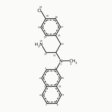 CN(c1ccc2ccccc2c1)C(CN)Cc1ccc(Cl)cc1